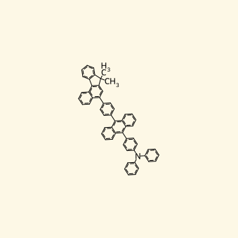 CC1(C)c2ccccc2-c2c1cc(-c1ccc(-c3c4ccccc4c(-c4ccc(N(c5ccccc5)c5ccccc5)cc4)c4ccccc34)cc1)c1ccccc21